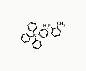 Cc1ccccc1P.c1ccc([B-](c2ccccc2)(c2ccccc2)c2ccccc2)cc1